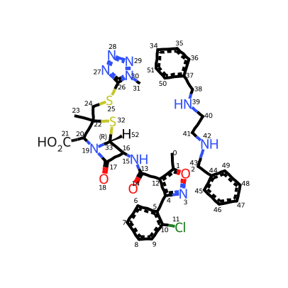 Cc1onc(-c2ccccc2Cl)c1C(=O)NC1C(=O)N2C(C(=O)O)C(C)(CSc3nnnn3C)S[C@H]12.c1ccc(CNCCNCc2ccccc2)cc1